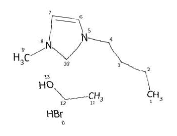 Br.CCCCN1C=CN(C)C1.CCO